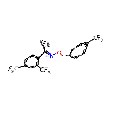 CC/C(=N\OCc1ccc(C(F)(F)F)cc1)c1ccc(C(F)(F)F)cc1C(F)(F)F